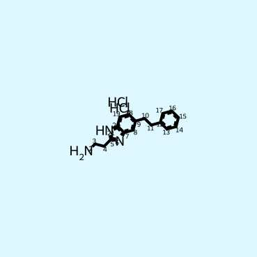 Cl.Cl.NCCc1nc2cc(CCc3ccccc3)ccc2[nH]1